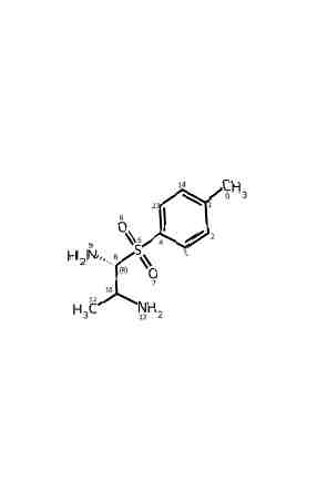 Cc1ccc(S(=O)(=O)[C@@H](N)C(C)N)cc1